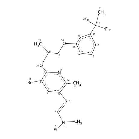 CCN(C)/C=N/c1cc(Br)c(OC(C)COc2cccc(C(C)(F)F)c2)nc1C